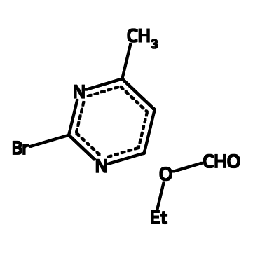 CCOC=O.Cc1ccnc(Br)n1